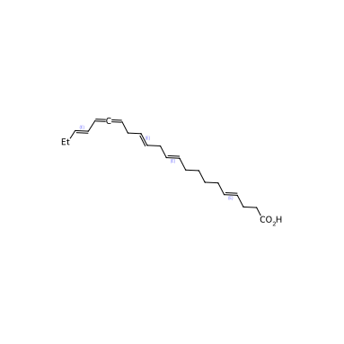 CC/C=C/C=C=CC/C=C/C/C=C/CCCC/C=C/CCC(=O)O